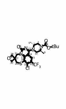 C[C@@H]1CN(C(=O)OC(C)(C)C)[C@@H](C)CN1c1nc(=O)n2c3c(c(Cl)c(C(F)(F)F)cc13)SCC1(COC1)C2